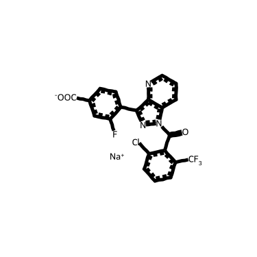 O=C([O-])c1ccc(-c2nn(C(=O)c3c(Cl)cccc3C(F)(F)F)c3cccnc23)c(F)c1.[Na+]